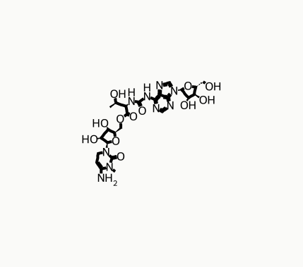 C[C@@H](O)[C@H](NC(=O)Nc1ncnc2c1ncn2[C@@H]1O[C@H](CO)[C@@H](O)[C@H]1O)C(=O)OC[C@H]1O[C@@H](N2CC=C(N)N(C)C2=O)[C@H](O)[C@@H]1O